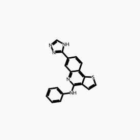 c1ccc(Nc2nc3cc(-c4nnc[nH]4)ccc3c3sccc23)cc1